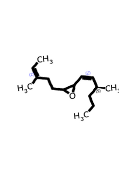 C/C=C(/C)CCC1OC1/C=C\[C@@H](C)CCC